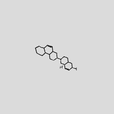 I[C@H]1C=C[C@H]2CC(C3CCC4C(C=CC5CCCCC54)C3)CCC2C1